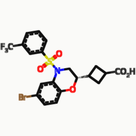 O=C(O)C1CC([C@H]2CN(S(=O)(=O)c3cccc(C(F)(F)F)c3)c3cc(Br)ccc3O2)C1